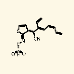 C=C\C=C/C=C(C=C)/C(C#N)=C1\C=CS\C1=N/O[SH](=O)=O